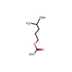 COC(C)CCCOC(=O)C=O